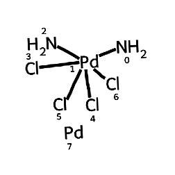 [NH2][Pd]([NH2])([Cl])([Cl])([Cl])[Cl].[Pd]